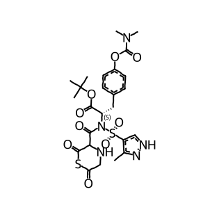 Cc1n[nH]cc1S(=O)(=O)N(C(=O)C1NCC(=O)SC1=O)[C@@H](Cc1ccc(OC(=O)N(C)C)cc1)C(=O)OC(C)(C)C